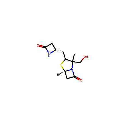 [C]C1(CO)C(C[C@H]2CC(=O)N2)S[C@@H]2CC(=O)N21